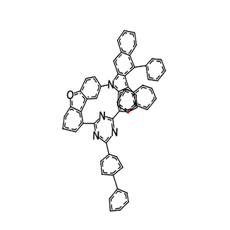 c1ccc(-c2ccc(-c3nc(-c4ccc5ccccc5c4)nc(-c4cccc5oc6ccc(-n7c8ccccc8c8c(-c9ccccc9)c9ccccc9cc87)cc6c45)n3)cc2)cc1